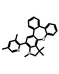 Cc1cnc(-c2cc3c(c4c2N(C)CC4(C)C)Oc2ccccc2-c2ccccc2-3)c(C)c1